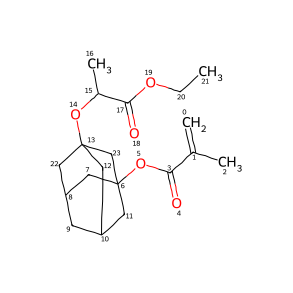 C=C(C)C(=O)OC12CC3CC(C1)CC(OC(C)C(=O)OCC)(C3)C2